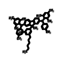 CCCCCCc1cc(C)cc(C2(C)c3cc(N(c4ccc(C)cc4)c4c(C)cc(C)cc4C)ccc3-c3ccc(N(c4ccc(C)cc4)c4c(C)cc(C)cc4C)cc32)c1